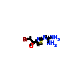 NC(N)=Nc1nc(C(=O)CBr)cs1